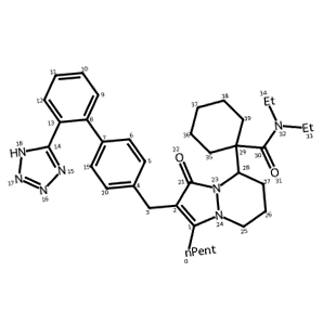 CCCCCc1c(Cc2ccc(-c3ccccc3-c3nnn[nH]3)cc2)c(=O)n2n1CCCC2C1(C(=O)N(CC)CC)CCCCC1